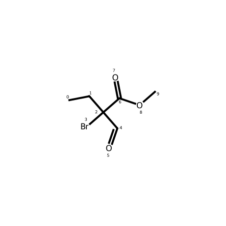 CCC(Br)(C=O)C(=O)OC